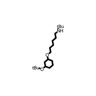 CC(C)(C)NCCCCCCOC1CCCC(OC(C)(C)C)C1